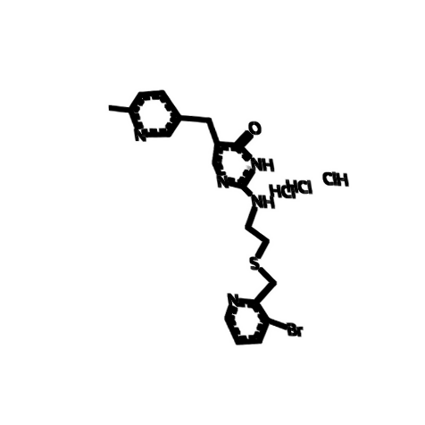 Cc1ccc(Cc2cnc(NCCSCc3ncccc3Br)[nH]c2=O)cn1.Cl.Cl.Cl